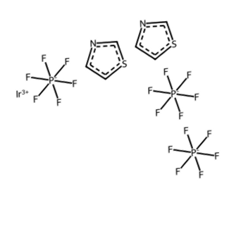 F[P-](F)(F)(F)(F)F.F[P-](F)(F)(F)(F)F.F[P-](F)(F)(F)(F)F.[Ir+3].c1cscn1.c1cscn1